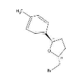 Cc1ccc([C@H]2CC[C@H](CBr)O2)cc1